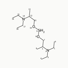 CCN(CC)C(C)CO[SiH2]OCC(C)N(CC)CC